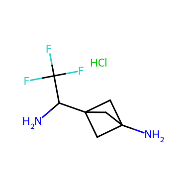 Cl.NC(C(F)(F)F)C12CC(N)(C1)C2